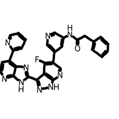 O=C(Cc1ccccc1)Nc1cncc(-c2cnc3[nH]nc(-c4nc5c(-c6ccccn6)ccnc5[nH]4)c3c2F)c1